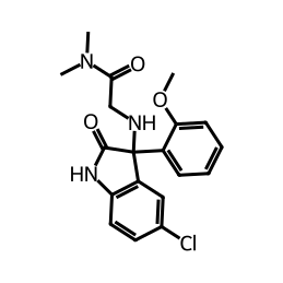 COc1ccccc1C1(NCC(=O)N(C)C)C(=O)Nc2ccc(Cl)cc21